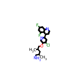 CC(CN)CC(C)COc1cnc(-c2ccnc3cc(F)cc(F)c23)cc1Cl